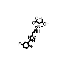 CC(O)[C@H](NSNCc1nc(-c2cc(F)ccc2F)no1)C(=O)O